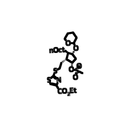 CCCCCCCC[C@@H]1[C@@H](CCSc2nc(C(=O)OCC)cs2)[C@@H](OS(C)(=O)=O)C[C@H]1OC1CCCCO1